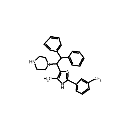 Cc1[nH]c(-c2cccc(C(F)(F)F)c2)nc1C(C(c1ccccc1)c1ccccc1)N1CCNCC1